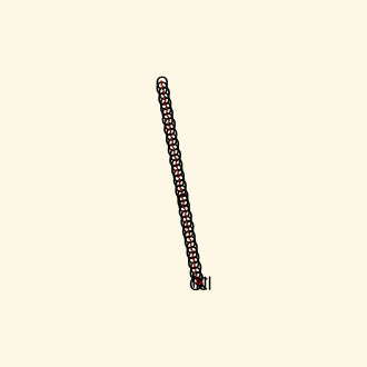 COCCOCCOCCOCCOCCOCCOCCOCCOCCOCCOCCOCCOCCOCCOCCOCCOCCOCCOCCOCCOCCOCCOCCOCCOCCOCCOCCOCCOCCOCCOCCOCCOCCOCCOCCOCCOCCOCCOCN1C(=O)C(C)(C)N(Cl)C1(C)C